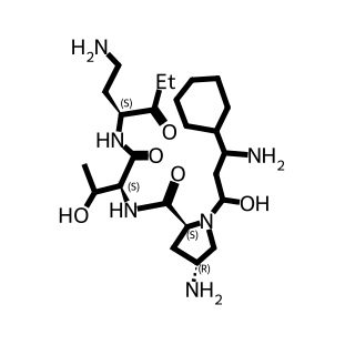 CCC(=O)[C@H](CCN)NC(=O)[C@@H](NC(=O)[C@@H]1C[C@@H](N)CN1C(O)CC(N)C1CCCCC1)C(C)O